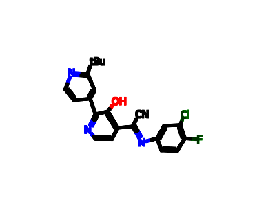 CC(C)(C)c1cc(-c2nccc(/C(C#N)=N/c3ccc(F)c(Cl)c3)c2O)ccn1